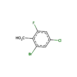 O=C(O)c1c(F)cc(Cl)cc1Br